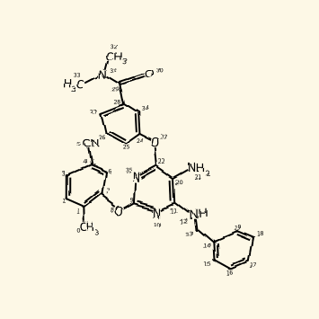 Cc1ccc(C#N)cc1Oc1nc(NCc2ccccc2)c(N)c(Oc2cccc(C(=O)N(C)C)c2)n1